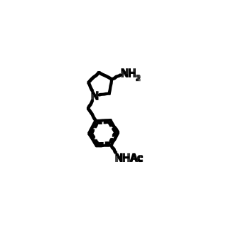 CC(=O)Nc1ccc(CN2CCC(N)C2)cc1